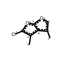 Cc1coc2oc(Cl)c(C)c12